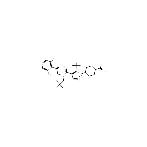 C[C@@H](N(CC(=O)c1c(Cl)cncc1Cl)C(=O)c1cnn(C2CCC(C(=O)O)CC2)c1C(F)(F)F)C(C)(C)C